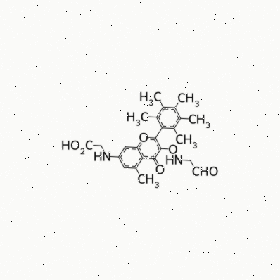 Cc1c(C)c(C)c(-c2oc3cc(NCC(=O)O)cc(C)c3c(=O)c2ONCC=O)c(C)c1C